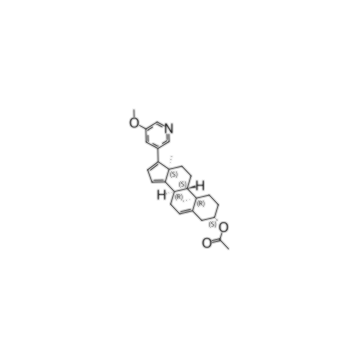 COc1cncc(C2=CC=C3[C@@H]4CC=C5C[C@@H](OC(C)=O)CC[C@]5(C)[C@H]4CC[C@]23C)c1